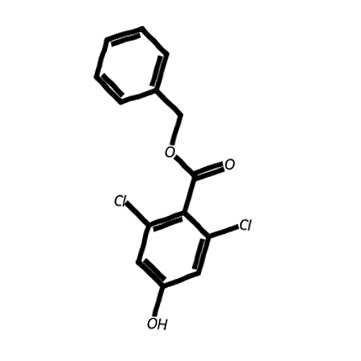 O=C(OCc1ccccc1)c1c(Cl)cc(O)cc1Cl